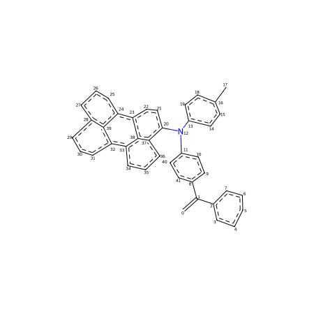 C=C(c1ccccc1)c1ccc(N(c2ccc(C)cc2)c2ccc3c4cccc5cccc(c6cccc2c63)c54)cc1